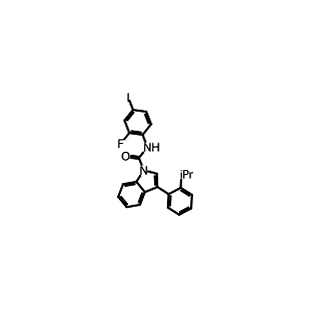 CC(C)c1ccccc1-c1cn(C(=O)Nc2ccc(I)cc2F)c2ccccc12